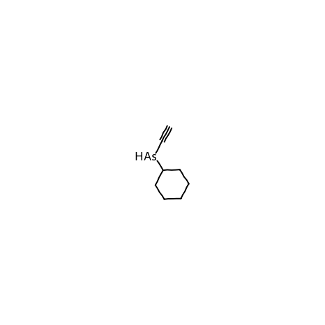 C#C[AsH]C1CCCCC1